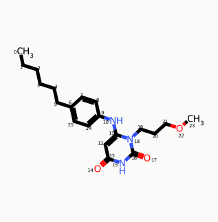 CCCCCCc1ccc(Nc2cc(=O)[nH]c(=O)n2CCCOC)cc1